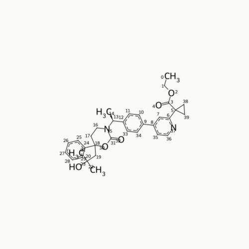 CCOC(=O)C1(c2cc(-c3ccc([C@H](C)N4CCC(CC(C)(C)O)(c5ccccc5)OC4=O)cc3)ccn2)CC1